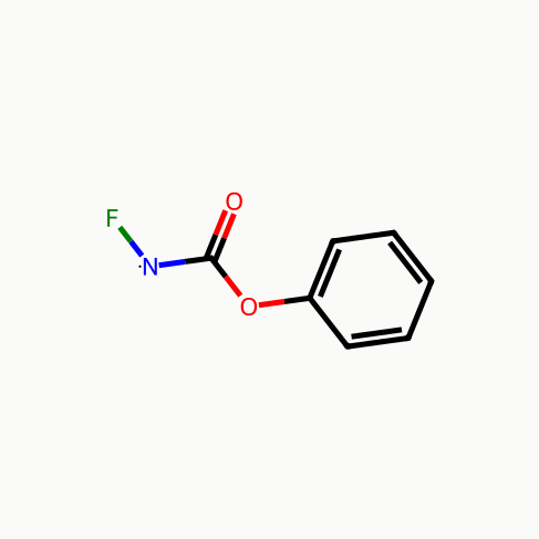 O=C([N]F)Oc1ccccc1